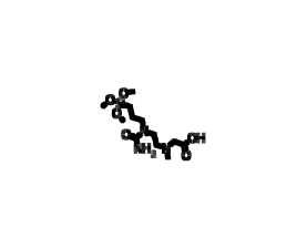 CO[Si](CCCN(CCN(C)CC(=O)O)C(N)=O)(OC)OC